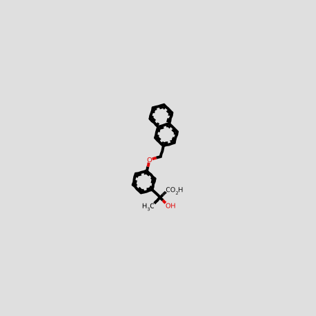 CC(O)(C(=O)O)c1cccc(OCc2ccc3ccccc3c2)c1